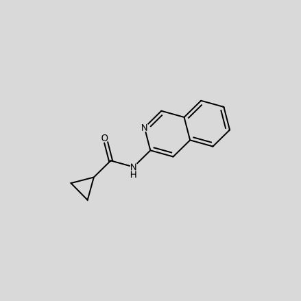 O=C(Nc1cc2ccccc2cn1)C1CC1